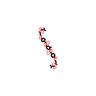 C=C(C)C(=O)OC(C)CCOc1ccc(C(=O)Oc2ccc(OC(=O)c3ccc(OCCC(C)OC(=O)C(=C)C)cc3)c(C)c2)cc1